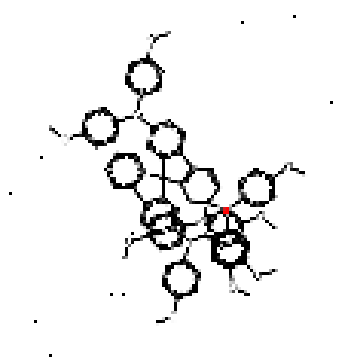 COc1ccc(N(c2ccc(OC)cc2)c2ccc3c(c2)C2(C4=C3C=CC(N(c3ccc(OC)cc3)c3ccc(OC)cc3)(N(c3ccc(OC)cc3)c3ccc(OC)cc3)C4)c3ccccc3-c3ccc(N(c4ccc(OC)cc4)c4ccc(OC)cc4)cc32)cc1